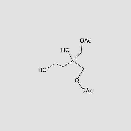 CC(=O)OCC(O)(CCO)COOC(C)=O